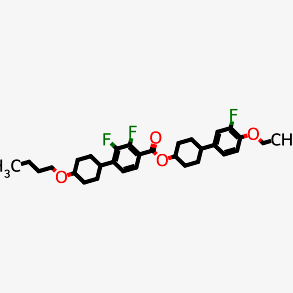 CCCCOC1CCC(c2ccc(C(=O)OC3CCC(c4ccc(OCC)c(F)c4)CC3)c(F)c2F)CC1